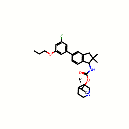 CCCOc1cc(F)cc(-c2ccc3c(c2)CC(C)(C)C3NC(=O)O[C@H]2CN3CCC2CC3)c1